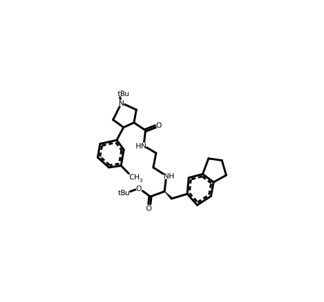 Cc1cccc(C2CN(C(C)(C)C)CC2C(=O)NCCN[C@@H](Cc2ccc3c(c2)CCC3)C(=O)OC(C)(C)C)c1